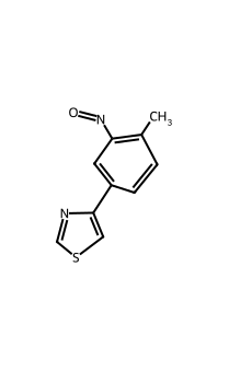 Cc1ccc(-c2cscn2)cc1N=O